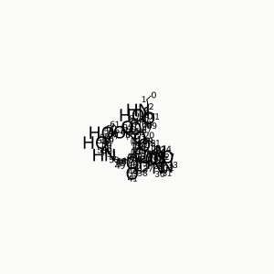 CCCNC[C@]1(O)[C@H](C)OC(O[C@H]2[C@H](C)[C@@H](O[C@@H]3O[C@H](C)C[C@H](N(C)S(=O)(=O)c4nccn4C)[C@H]3Oc3ccc(OC)cc3)[C@](C)(O)C[C@@H](C)CN[C@H](C)[C@@H](O)[C@](C)(O)[C@@H](CC)OC(=O)[C@@H]2C)C[C@@]1(C)OC